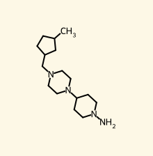 CC1CCC(CN2CCN(C3CCN(N)CC3)CC2)C1